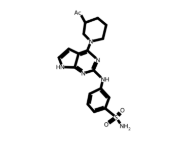 CC(=O)C1CCCN(c2nc(Nc3cccc(S(N)(=O)=O)c3)nc3[nH]ccc23)C1